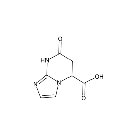 O=C1CC(C(=O)O)n2ccnc2N1